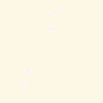 Nc1noc2ccc(-c3cc(Cl)cc(Br)c3Oc3cc(F)c([S+]([O-])Nc4ncns4)cc3F)cc12